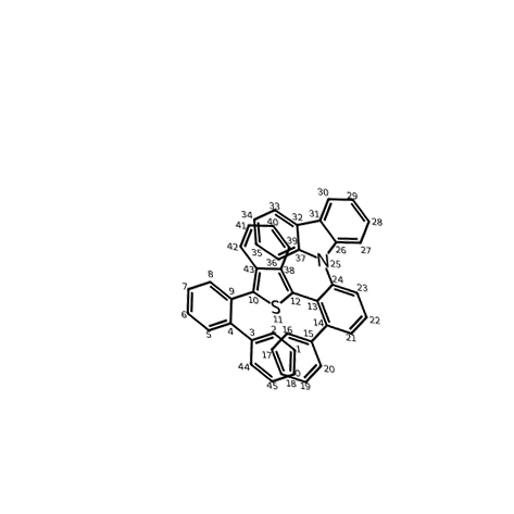 c1ccc(-c2ccccc2-c2sc(-c3c(-c4ccccc4)cccc3-n3c4ccccc4c4ccccc43)c3ccccc23)cc1